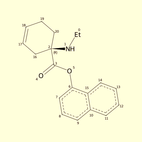 CCN[C@@]1(C(=O)Oc2cccc3ccccc23)CC=CCC1